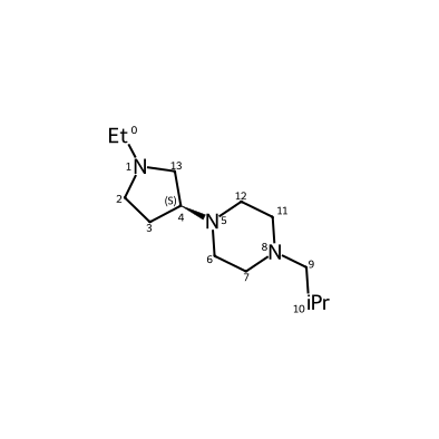 CCN1CC[C@H](N2CCN(CC(C)C)CC2)C1